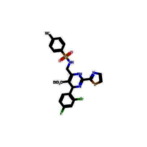 CCOC(=O)C1=C(CNS(=O)(=O)c2ccc(C#N)cc2)NC(c2nccs2)=NC1c1ccc(F)cc1Br